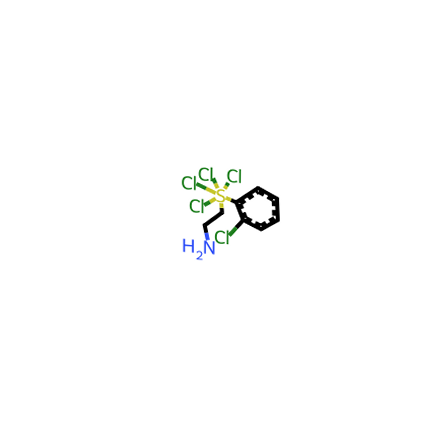 NCCS(Cl)(Cl)(Cl)(Cl)c1ccccc1Cl